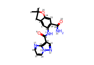 CC1(C)Cc2cc(NC(=O)c3cnn4cccnc34)c(C(N)=O)cc2O1